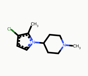 Cc1c(Cl)ccn1C1CCN(C)CC1